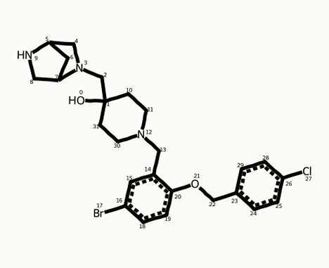 OC1(CN2CC3CC2CN3)CCN(Cc2cc(Br)ccc2OCc2ccc(Cl)cc2)CC1